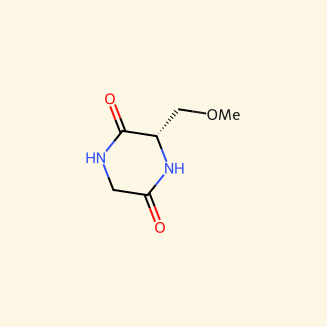 COC[C@@H]1NC(=O)CNC1=O